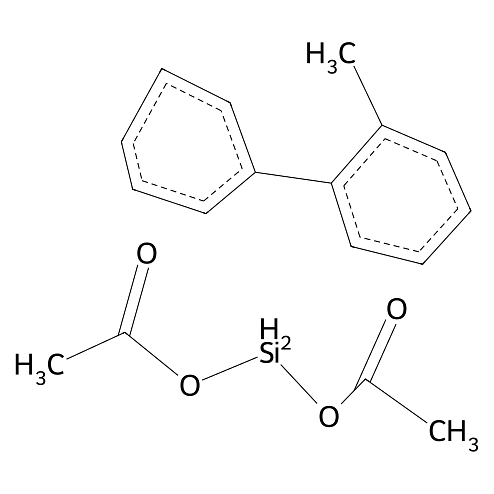 CC(=O)O[SiH2]OC(C)=O.Cc1ccccc1-c1ccccc1